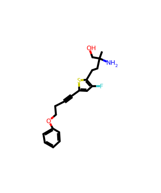 CC(N)(CO)CCc1sc(C#CCCOc2ccccc2)cc1F